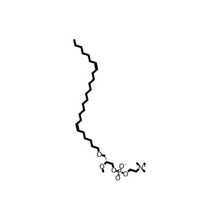 CCCCCC/C=C\CCCCCCCCCC/C=C\CCCCCOC[C@H](COP(=O)([O-])OCC[N+](C)(C)C)OC